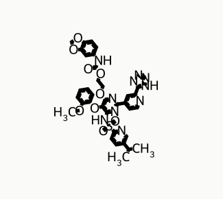 COc1ccccc1Oc1c(NS(=O)(=O)c2ccc(C(C)C)cn2)nc(-c2ccnc(-c3nnn[nH]3)c2)nc1OCCOC(=O)Nc1ccc2c(c1)OCO2